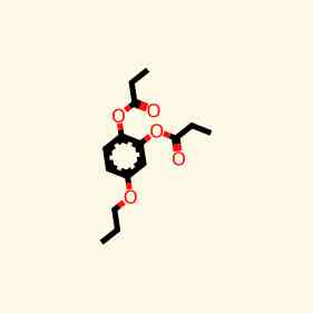 CCCOc1ccc(OC(=O)CC)c(OC(=O)CC)c1